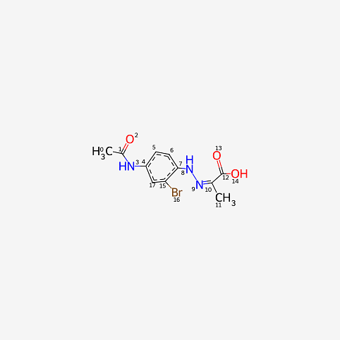 CC(=O)Nc1ccc(NN=C(C)C(=O)O)c(Br)c1